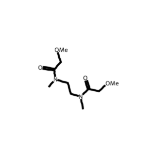 COCC(=O)N(C)CCN(C)C(=O)COC